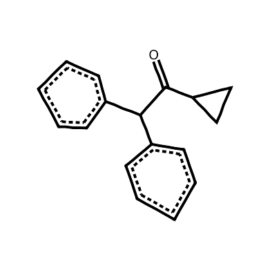 O=C(C1CC1)C(c1ccccc1)c1ccccc1